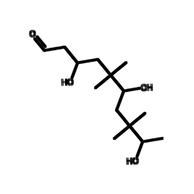 CC(O)C(C)(C)CC(O)C(C)(C)CC(O)CC=O